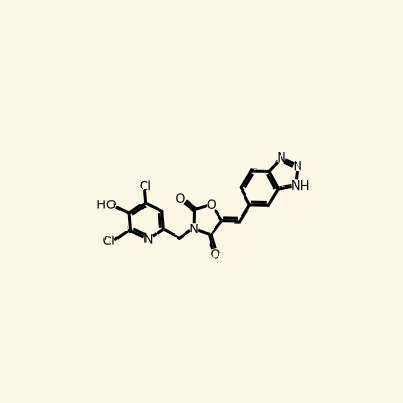 O=C1O/C(=C\c2ccc3nn[nH]c3c2)C(=O)N1Cc1cc(Cl)c(O)c(Cl)n1